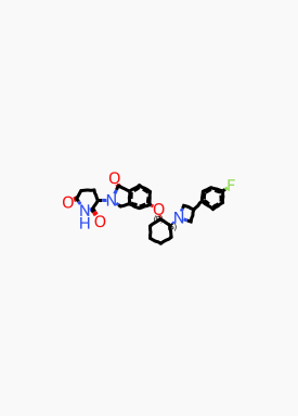 O=C1CCC(N2Cc3cc(O[C@@H]4CCCC[C@@H]4N4CC(c5ccc(F)cc5)C4)ccc3C2=O)C(=O)N1